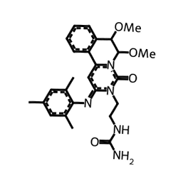 COC1c2ccccc2-c2cc(=Nc3c(C)cc(C)cc3C)n(CCNC(N)=O)c(=O)n2C1OC